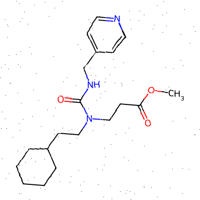 COC(=O)CCN(CCC1CCCCC1)C(=O)NCc1ccncc1